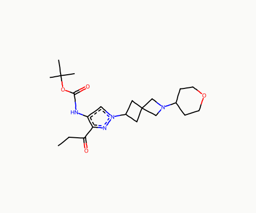 CCC(=O)c1nn(C2CC3(C2)CN(C2CCOCC2)C3)cc1NC(=O)OC(C)(C)C